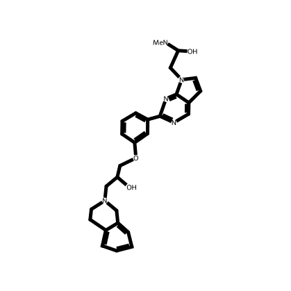 CNC(O)Cn1ccc2cnc(-c3cccc(OCC(O)CN4CCc5ccccc5C4)c3)nc21